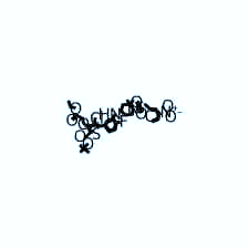 CCOC(=O)COc1c(C(=O)OC(C)(C)C)sc(-c2ccc(F)c(NC3CCN(S(=O)(=O)Cc4cccc([N+](=O)[O-])c4)C(C)(C)C3)c2)c1Cl